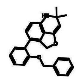 CC1(C)C=C2OCc3c(-c4ccccc4OCc4ccccc4)ccc(c32)N1